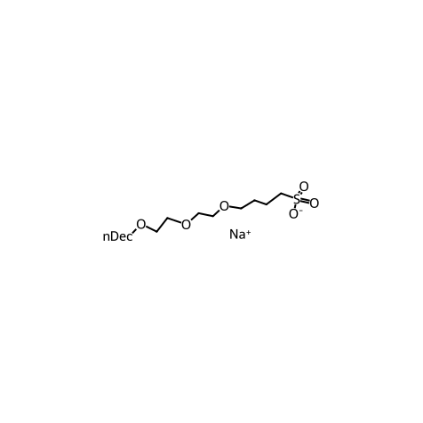 CCCCCCCCCCOCCOCCOCCCCS(=O)(=O)[O-].[Na+]